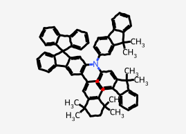 CC1(C)CCC(C)(C)c2cc(-c3cc4c(cc3N(c3ccc5c(c3)C(C)(C)c3ccccc3-5)c3ccc5c(c3)C(C)(C)c3ccccc3-5)C3(c5ccccc5-c5ccccc53)c3ccccc3-4)ccc21